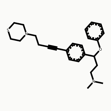 CN(C)CCC(Oc1ccccc1)c1ccc(C#CCCN2CCSCC2)cc1